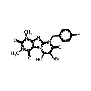 CCCCc1c(O)n2c3c(=O)n(C)c(=O)n(C)c3nc2n(Cc2ccc(F)cc2)c1=O